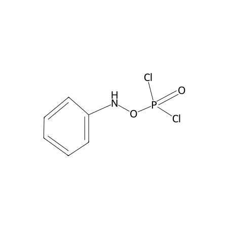 O=P(Cl)(Cl)ONc1ccccc1